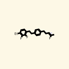 CCc1ccc(CCc2ccc(CC/C=C(/C)F)cc2)c(F)c1F